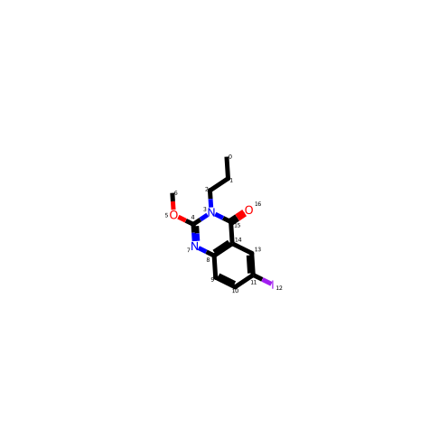 CCCn1c(OC)nc2ccc(I)cc2c1=O